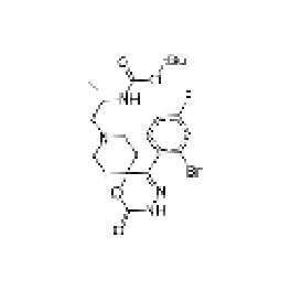 C[C@@H](CN1CCC2(CC1)OC(=O)NN=C2c1ccc(F)cc1Br)NC(=O)OC(C)(C)C